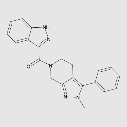 Cn1nc2c(c1-c1ccccc1)CCN(C(=O)c1n[nH]c3ccccc13)C2